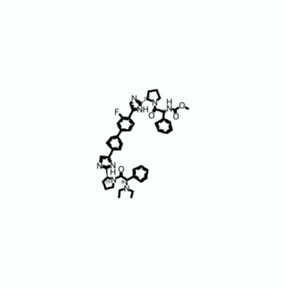 CCN(CC)[C@@H](C(=O)N1CCC[C@H]1c1ncc(-c2ccc(-c3ccc(-c4cnc([C@@H]5CCCN5C(=O)[C@H](NC(=O)OC)c5ccccc5)[nH]4)c(F)c3)cc2)[nH]1)c1ccccc1